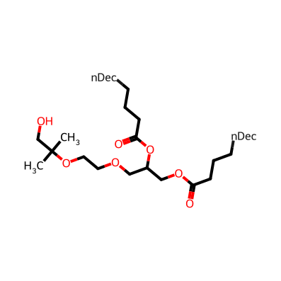 CCCCCCCCCCCCCC(=O)OCC(COCCOC(C)(C)CO)OC(=O)CCCCCCCCCCCCC